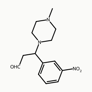 CN1CCN(C(CC=O)c2cccc([N+](=O)[O-])c2)CC1